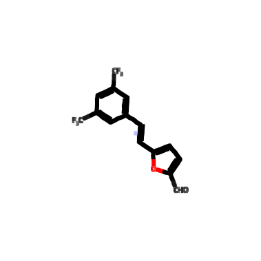 O=Cc1ccc(/C=C/c2cc(C(F)(F)F)cc(C(F)(F)F)c2)o1